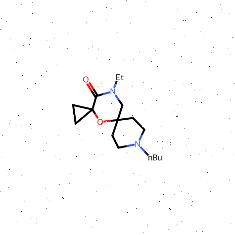 CCCCN1CCC2(CC1)CN(CC)C(=O)C1(CC1)O2